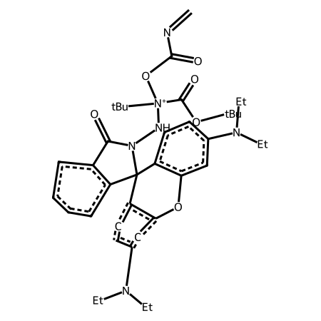 C=NC(=O)O[N+](NN1C(=O)c2ccccc2C12c1ccc(N(CC)CC)cc1Oc1cc(N(CC)CC)ccc12)(C(=O)OC(C)(C)C)C(C)(C)C